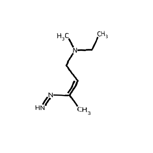 CCN(C)C/C=C(/C)N=N